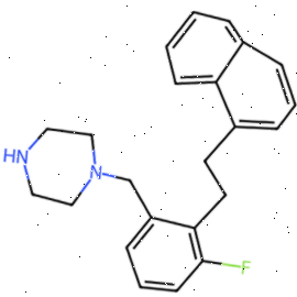 Fc1cccc(CN2CCNCC2)c1CCc1cccc2ccccc12